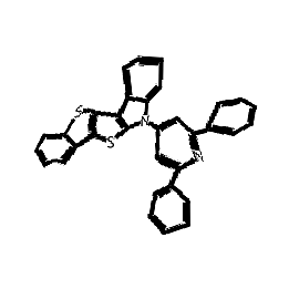 c1ccc(-c2cc(-n3c4ccccc4c4c5sc6ccccc6c5sc43)cc(-c3ccccc3)n2)cc1